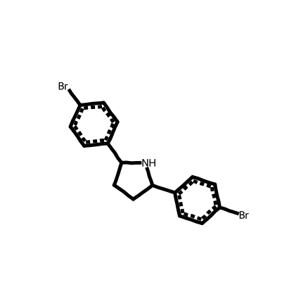 Brc1ccc(C2CCC(c3ccc(Br)cc3)N2)cc1